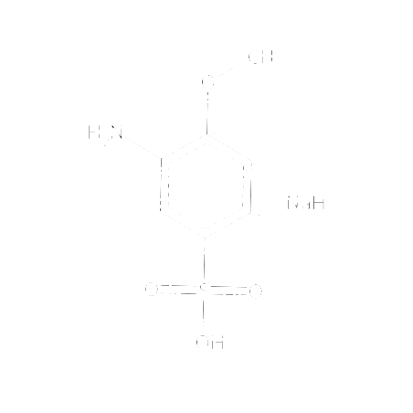 COc1ccc(S(=O)(=O)O)cc1N.[NaH]